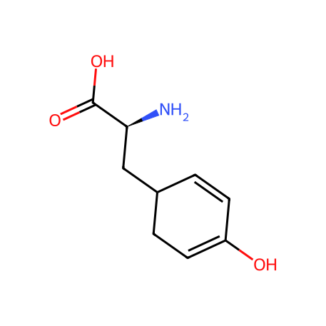 N[C@@H](CC1C=CC(O)=CC1)C(=O)O